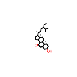 CC[C@H](CC[C@@H](C)C1CCC2C3C(=O)C=C4C[C@@H](O)CC[C@]4(C)C3CC[C@@]21C)C(C)C